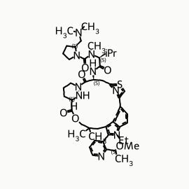 CCn1c(-c2cccnc2[C@H](C)OC)c2c3cc(ccc31)-c1csc(n1)C[C@H](NC(=O)[C@H](C(C)C)N(C)C(=O)N1CCC[C@H]1CN(C)C)C(=O)N1CCC[C@H](N1)C(=O)OCC(C)(C)C2